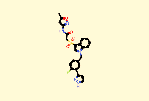 Cc1cc(NC(=O)CS(=O)(=O)c2cn(Cc3ccc(F)c(-c4cc[nH]n4)c3)c3ccccc23)no1